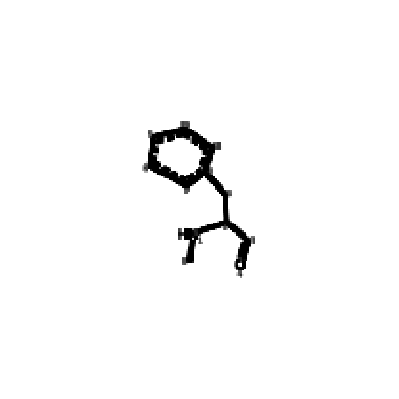 CNC([C]=O)Cc1ccccc1